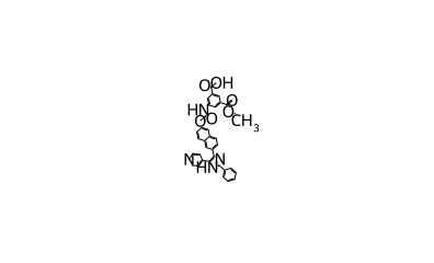 CCOC(=O)c1cc(NC(=O)Oc2ccc3cc(-c4nc(-c5ccccc5)[nH]c4-c4ccncc4)ccc3c2)cc(C(=O)O)c1